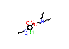 CCCCNc1cc(OC)c(C(=O)OCCN(CCCC)CCCC)cc1Cl